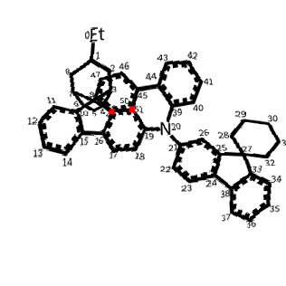 CCC1CC2CCCC(C1)C21c2ccccc2-c2ccc(N(c3ccc4c(c3)C3(CCCCC3)c3ccccc3-4)c3ccccc3-c3ccccc3)cc21